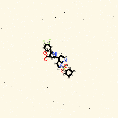 O=c1oc2cc(F)c(F)cc2c2[nH]c(-c3ccnc4c3ccn4S(=O)(=O)c3ccccc3)cc12